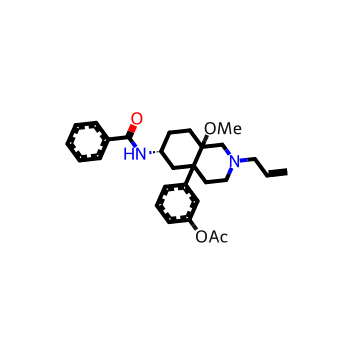 C=CCN1CCC2(c3cccc(OC(C)=O)c3)C[C@H](NC(=O)c3ccccc3)CCC2(OC)C1